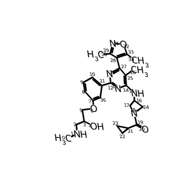 CNCC(O)COc1cccc(-c2nc(NC3CN(C(=O)C4CC4)C3)c(C)c(-c3c(C)noc3C)n2)c1